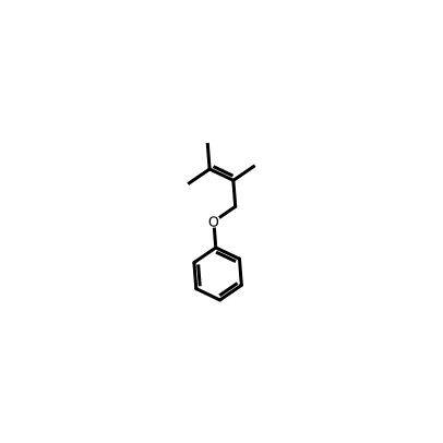 CC(C)=C(C)COc1ccccc1